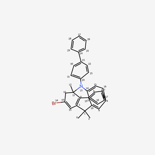 CC1(C)C2=C(c3ccccc31)C(C)(N(c1ccccc1)c1ccc(-c3ccccc3)cc1)CC(Br)=C2